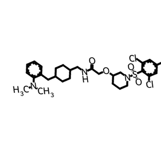 CN(C)c1ccccc1CC1CCC(CNC(=O)COC2CCCN(S(=O)(=O)c3c(Cl)cc(Cl)cc3Cl)C2)CC1